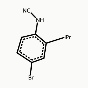 CC(C)c1cc(Br)ccc1NC#N